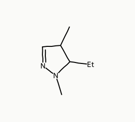 CCC1C(C)C=NN1C